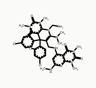 CNc1cc(NCC2=C(N(C)C)N(CN)c3c(c(=O)n(C)c(=O)n3C)C2(c2ccc(Cl)cc2Cl)c2ccc(Cl)cc2Cl)c2c(=O)n(C)c(=O)n(C)c2n1